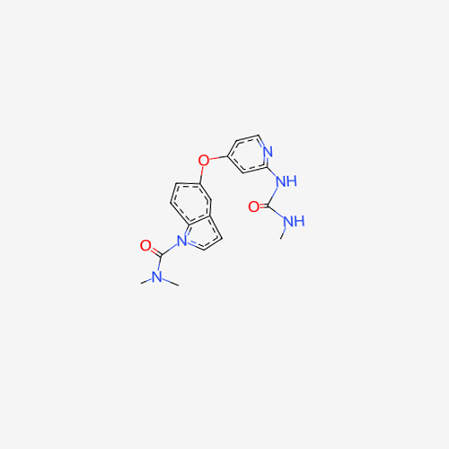 CNC(=O)Nc1cc(Oc2ccc3c(ccn3C(=O)N(C)C)c2)ccn1